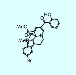 COC(=O)C1=CC(C(=O)c2ccccc2O)=CN2CCc3c([nH]c4ccc(Br)cc34)C12C(=O)OC